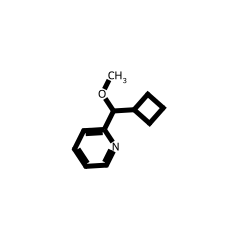 COC(c1ccccn1)C1CCC1